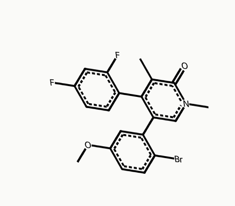 COc1ccc(Br)c(-c2cn(C)c(=O)c(C)c2-c2ccc(F)cc2F)c1